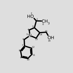 CC(O)C1CN(Cc2ccccc2)CC1CO